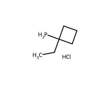 CCC1(P)CCC1.Cl